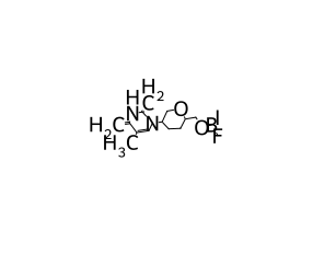 C=C1NC(=C)N(C2CCC(COB(F)I)OC2)C=C1C